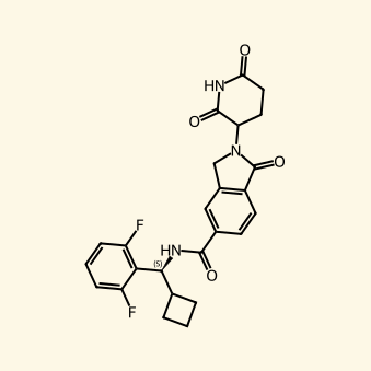 O=C1CCC(N2Cc3cc(C(=O)N[C@H](c4c(F)cccc4F)C4CCC4)ccc3C2=O)C(=O)N1